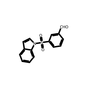 O=Cc1cccc(S(=O)(=O)n2ccc3ccccc32)c1